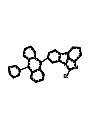 CCc1nc2cccc3c4ccc(-c5c6ccccc6c(-c6ccccc6)c6ccccc56)cc4n1c23